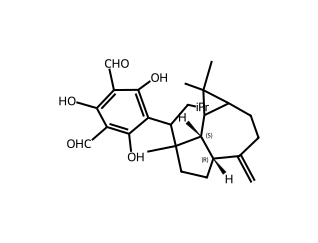 C=C1CCC2C([C@@H]3[C@H]1CCC3(C)C(CC(C)C)c1c(O)c(C=O)c(O)c(C=O)c1O)C2(C)C